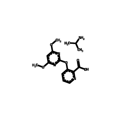 CC(C)N.COc1cc(OC)nc(Oc2cccnc2C(=O)O)n1